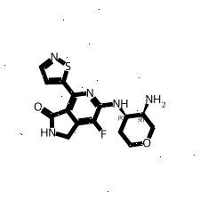 N[C@H]1COCC[C@H]1Nc1nc(-c2ccns2)c2c(c1F)CNC2=O